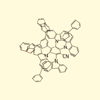 N#Cc1c(-n2c3c#cccc3c3ccccc32)c(-n2c3c(c4cc(-c5ccccc5)ccc42)C=C(c2ccccc2)CC3)c(-c2cc(-c3ccccc3)cc(-c3ccccc3)c2)c(-n2c3c(c4cc(-c5ccccc5)ccc42)C=C(c2ccccc2)CC3)c1-n1c2c#cccc2c2ccccc21